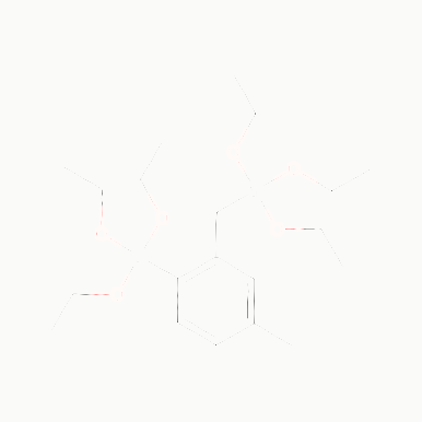 CCO[Si](Cc1cc(C)ccc1[Si](OCC)(OCC)OCC)(OCC)OCC